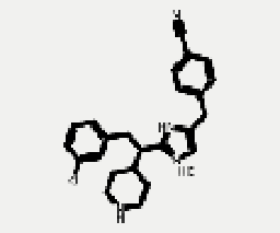 Cl.N#Cc1ccc(Cc2cnc(C(Cc3cccc(Cl)c3)C3CCNCC3)[nH]2)cc1